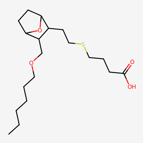 CCCCCCOCC1C2CCC(O2)C1CCSCCCC(=O)O